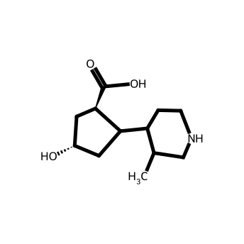 CC1CNCCC1C1C[C@H](O)C[C@H]1C(=O)O